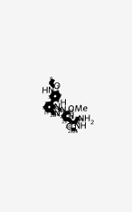 C=CC(=O)Nc1cccc(-c2cccc3cnc(Nc4ccc(C5OCCNC5CN)nc4OC)nc23)c1